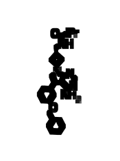 CC(C)C(=O)NC[C@H]1C[C@H](n2cc(-c3cccc(OCc4ccccc4)c3)c3c(N)ncnc32)C1